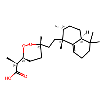 C[C@H](C(=O)O)[C@@H]1CC[C@@](C)(CC[C@@]2(C)C3=CCCC(C)(C)[C@@H]3CC[C@H]2C)OO1